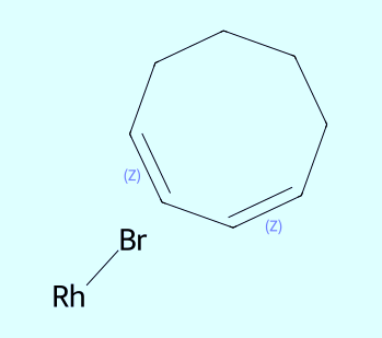 C1=C\CCCC\C=C/1.[Br][Rh]